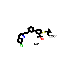 CC(C)(O)c1cc(-c2cccc(C=Cc3ccc4ccc(Cl)cc4n3)c2)ccc1SCC1(CC(=O)[O-])CC1.[Na+]